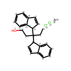 CCC(CCO)(C1C=Cc2ccccc21)C1C=Cc2ccccc21.[Cl-].[Cl-].[Zr+2]